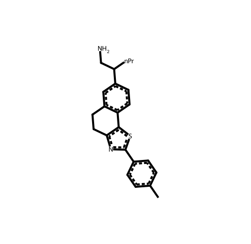 CCCC(CN)c1ccc2c(c1)CCc1nc(-c3ccc(C)cc3)sc1-2